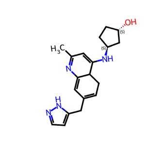 CC1=NC2=CC(Cc3ccn[nH]3)=CCC2C(N[C@H]2CC[C@H](O)C2)=C1